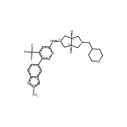 Cn1cc2cc(-c3nnc(N[C@H]4C[C@@H]5CN(CC6CCOCC6)C[C@@H]5C4)cc3C(F)(F)F)ccc2n1